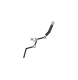 CCO[SiH2]N=C=O